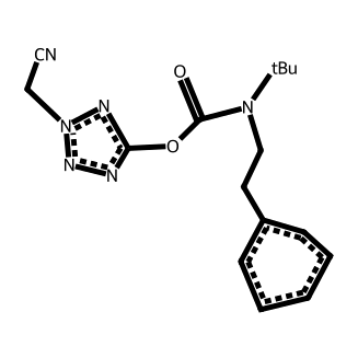 CC(C)(C)N(CCc1ccccc1)C(=O)Oc1nnn(CC#N)n1